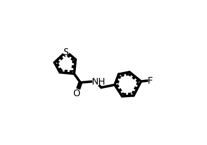 O=C(NCc1ccc(F)cc1)c1ccsc1